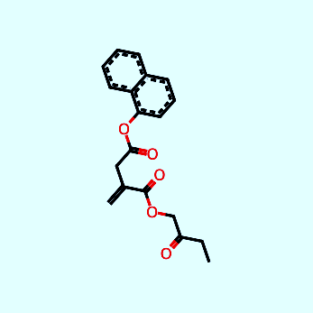 C=C(CC(=O)Oc1cccc2ccccc12)C(=O)OCC(=O)CC